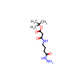 CC(C)(C)OC(=O)CC(=O)NCCCC(=O)NN